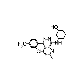 Cc1ccc2c(-c3ccc(C(F)(F)F)cc3O)nnc(N[C@@H]3CCC[C@H](O)C3)c2n1